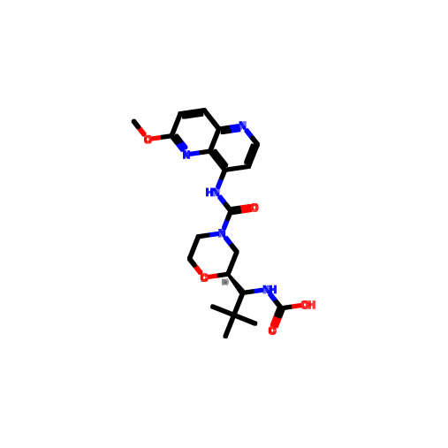 COc1ccc2nccc(NC(=O)N3CCO[C@H](C(NC(=O)O)C(C)(C)C)C3)c2n1